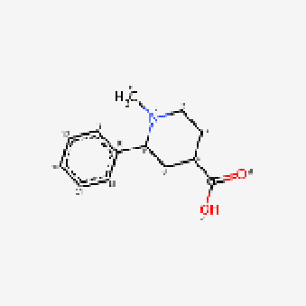 CN1CCC(C(=O)O)CC1c1ccccc1